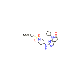 COCCS(=O)(=O)N1CCC(Nc2ncc3ccc(=O)n(C4CCCC4)c3n2)CC1